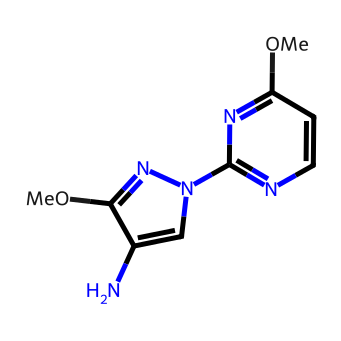 COc1ccnc(-n2cc(N)c(OC)n2)n1